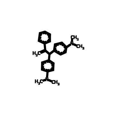 C=C(c1ccccc1)C(c1ccc(N(C)C)cc1)c1ccc(N(C)C)cc1